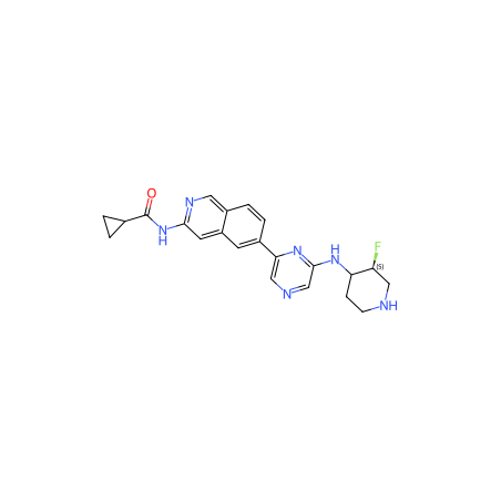 O=C(Nc1cc2cc(-c3cncc(NC4CCNC[C@@H]4F)n3)ccc2cn1)C1CC1